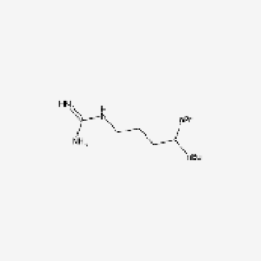 CCCCC(CCC)CCCNC(=N)N